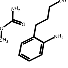 COC(N)=O.Nc1ccccc1CCCO